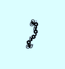 O=[N+]([O-])c1cccc(/C=N/c2ccc(Cc3ccc(/N=C/c4cccc([N+](=O)[O-])c4)cc3)cc2)c1